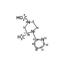 C[C@@H]1CN(C(=O)O)CCN1c1ccccn1